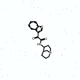 O=C(NC1CCN2CCCC1C2)C(=O)c1csc2ccccc12